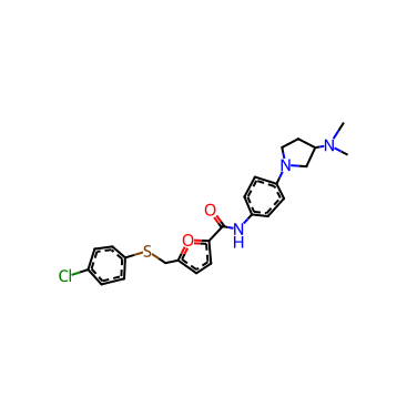 CN(C)C1CCN(c2ccc(NC(=O)c3ccc(CSc4ccc(Cl)cc4)o3)cc2)C1